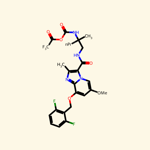 CCCC(C)(CNC(=O)c1c(C)nc2c(OCc3c(F)cccc3F)cc(OC)cn12)NC(=O)OC(=O)C(F)(F)F